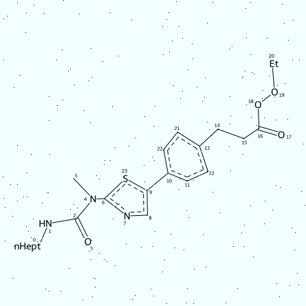 CCCCCCCNC(=O)N(C)c1ncc(-c2ccc(CCC(=O)OOCC)cc2)s1